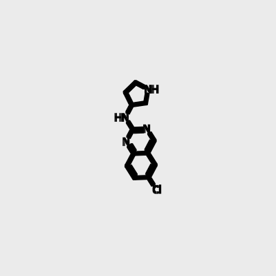 Clc1ccc2nc(NC3CCNC3)ncc2c1